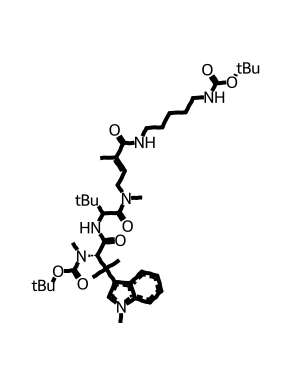 C/C(=C\CN(C)C(=O)C(NC(=O)[C@@H](N(C)C(=O)OC(C)(C)C)C(C)(C)c1cn(C)c2ccccc12)C(C)(C)C)C(=O)NCCCCCNC(=O)OC(C)(C)C